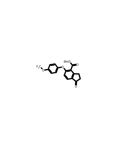 COC(=O)c1c(Oc2ccc(OC(F)(F)F)cc2)ccc2c1CCC2=O